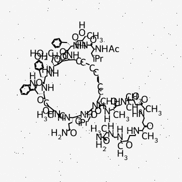 CC(=O)N[C@@H](CC(C)C)C(=O)N[C@H](C(=O)N[C@@H](Cc1ccccc1)C(=O)N[C@]1(C)CCCCCC/C=C/CCC[C@@](C)(C(=O)CN[C@@H](C)C(=O)CNC(C)(C)C(=O)CC(=O)[C@H](C)NCCC(=O)[C@H](C)NCCC(=O)[C@H](C)NCN[C@H](C)C(N)=O)NC(=O)[C@H](CC(C)C)NC(=O)[C@H](CCC(N)=O)NCN[C@@H](C)C(=O)CC(=O)[C@H](Cc2c[nH]c3ccccc23)NC(=O)[C@H](Cc2ccc(O)cc2)NN[C@@H](CCC(=O)O)C(=O)C1=O)[C@@H](C)O